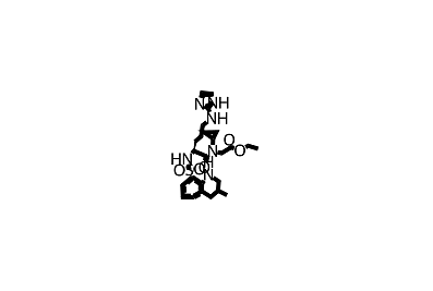 CCOC(=O)CN(C(=O)[C@H](CCCNc1ncc[nH]1)NS(=O)(=O)c1cccc2c1NCC(C)C2)C1CC1